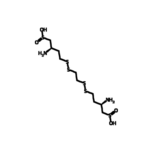 N[C@H](CCSSCCSSCC[C@@H](N)CS(=O)O)CS(=O)O